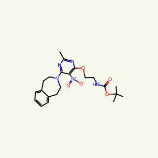 Cc1nc(OCCNC(=O)OC(C)(C)C)c([N+](=O)[O-])c(N2CCc3ccccc3CC2)n1